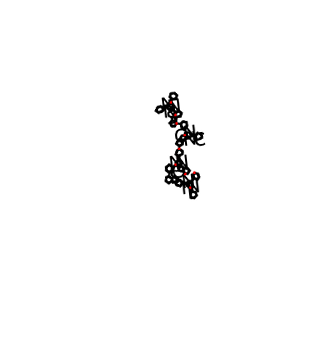 c1ccc(-c2nc(-c3ccccc3)nc(-c3ccc4c(c3)sc3c(-c5cccc(-c6nc(-c7ccc(-c8ccc9oc%10c(-c%11cccc(-c%12cccc%13sc%14c(-c%15nc(-c%16ccccc%16)nc(-c%16ccccc%16)n%15)cccc%14c%12%13)c%11)nc(-c%11ccccc%11)nc%10c9c8)cc7)nc7c6oc6ccccc67)c5)cccc34)n2)cc1